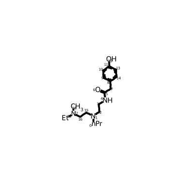 CCCN(CCNC(=O)Cc1ccc(O)cc1)CCN(C)CC